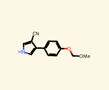 COCOc1ccc(-c2c[nH]cc2C#N)cc1